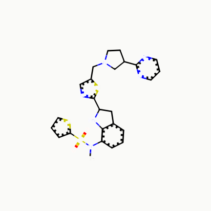 CC(C)N(c1cccc2c1NC(c1ncc(CN3CCC(c4ncccn4)C3)s1)C2)S(=O)(=O)c1cccs1